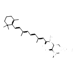 CC1=C(/C=C/C(C)=C/C=C/C(C)=C/C(=O)N[C@@H](CS(=O)(=O)O)C(=O)N(C)C)C(C)(C)CCC1